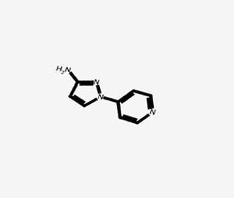 Nc1ccn(-c2ccncc2)n1